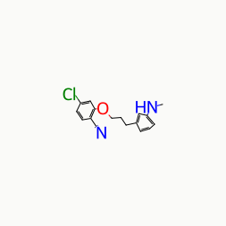 CNc1cccc(CCCOc2cc(Cl)ccc2C#N)c1